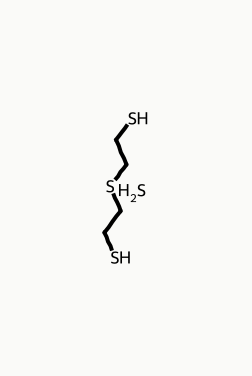 S.SCCSCCS